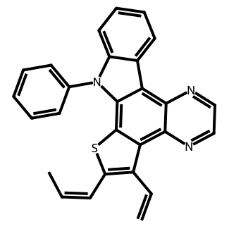 C=Cc1c(/C=C\C)sc2c1c1nccnc1c1c3ccccc3n(-c3ccccc3)c21